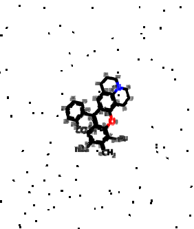 C=c1c(CCCC)cc2c(c1CCCC)Oc1c(cc3c4c1CCCN4CCC3)C=2c1ccccc1C(=O)O